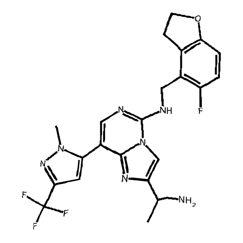 CC(N)c1cn2c(NCc3c(F)ccc4c3CCO4)ncc(-c3cc(C(F)(F)F)nn3C)c2n1